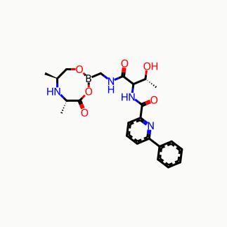 C[C@@H]1N[C@@H](C)COB(CNC(=O)C(NC(=O)c2cccc(-c3ccccc3)n2)[C@@H](C)O)OC1=O